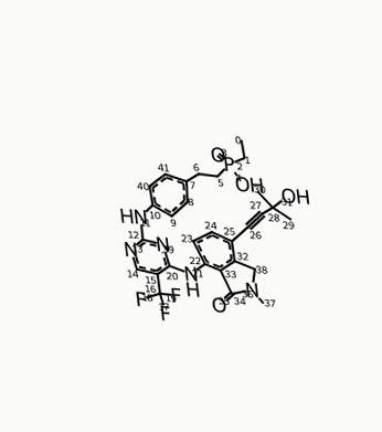 CCP(=O)(O)CCc1ccc(Nc2ncc(C(F)(F)F)c(Nc3ccc(C#CC(C)(C)O)c4c3C(=O)N(C)C4)n2)cc1